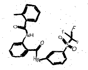 Cc1ccccc1C(=O)Nc1ccccc1C(=O)Nc1cccc(S(=O)(=O)C(F)(F)F)c1